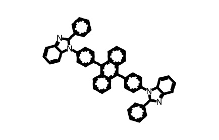 C1=CC2=NC(c3ccccc3)N(c3ccc(-c4c5ccccc5c(-c5ccc(N6C7C=CC=CC7=NC6c6ccccc6)cc5)c5ccccc45)cc3)C2C=C1